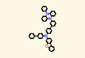 c1ccc(-c2ccc(N(c3ccc(-c4cccc(N5c6ccccc6N(c6ccccc6)c6ccccc65)c4)cc3)c3ccc4c(c3)oc3ccccc34)cc2)cc1